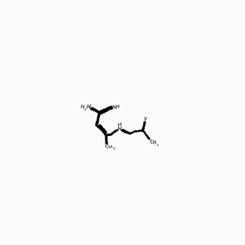 C/C(=C/C(=N)N)NCC(C)F